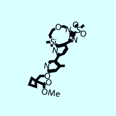 COC(=O)C1(COc2cc(C)c(-c3ccc4c(n3)[Si](C)(C)CCOCn3nc-4nc3S(C)(=O)=O)cn2)CCC1